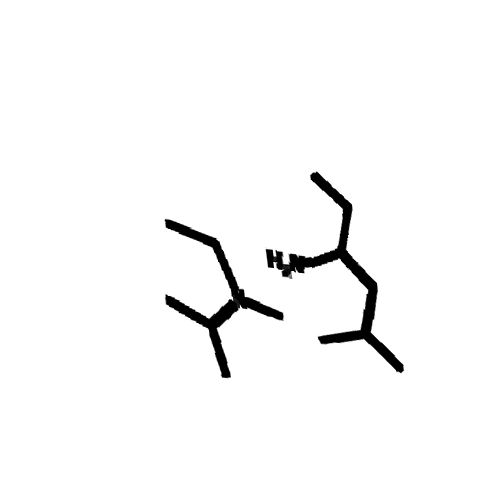 CCC(N)CC(C)C.CCN(C)C(C)C